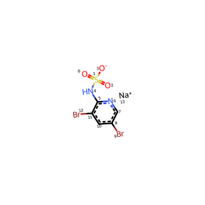 O=S(=O)([O-])Nc1ncc(Br)cc1Br.[Na+]